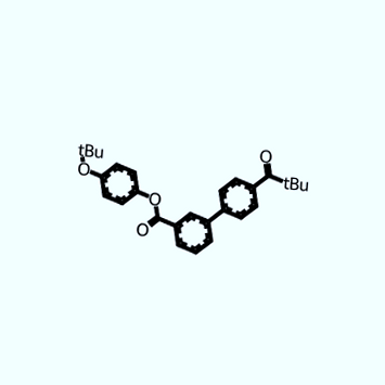 CC(C)(C)Oc1ccc(OC(=O)c2cccc(-c3ccc(C(=O)C(C)(C)C)cc3)c2)cc1